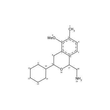 COc1c(C)ccc2c1CC(C1CCCCC1)OC2CN